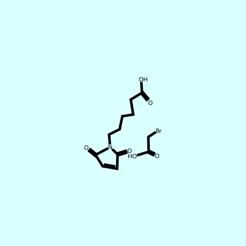 O=C(O)CBr.O=C(O)CCCCCN1C(=O)C=CC1=O